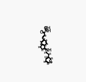 O=C(C=Cc1ccc2c(c1)CCC2NCCc1cccnc1)NO